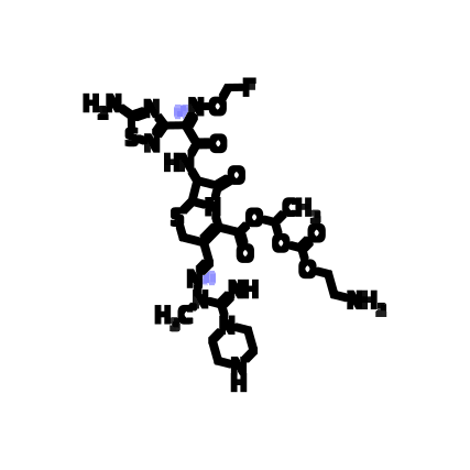 CC(OC(=O)OCCN)OC(=O)C1=C(/C=N/N(C)C(=N)N2CCNCC2)CSC2C(NC(=O)/C(=N\OCF)c3nsc(N)n3)C(=O)N12